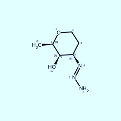 C[C@H]1OCC[C@@H](N=NN)[C@H]1O